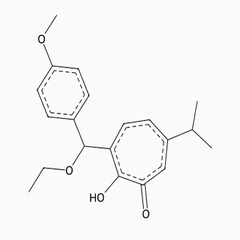 CCOC(c1ccc(OC)cc1)c1ccc(C(C)C)cc(=O)c1O